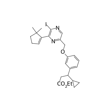 CCOC(=O)CC(c1cccc(OCc2cnc(I)c(C3=CCCC3(C)C)n2)c1)C1CC1